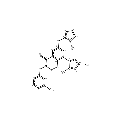 Cc1ccnc(CN2CCc3c(cc(Cn4ccnc4C)cc3-c3cn(C)nc3C(F)(F)F)C2=O)c1